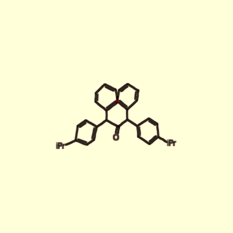 CC(C)c1ccc(C(C(=O)C(c2ccccc2)c2ccc(C(C)C)cc2)c2ccccc2)cc1